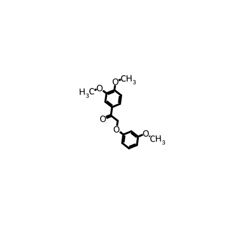 COc1cccc(OCC(=O)c2ccc(OC)c(OC)c2)c1